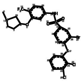 CN1CCC(Oc2cc(NS(=O)(=O)c3cnc(Sc4cccc(Cl)c4Cl)c(Br)c3)ccc2C(F)(F)F)C1